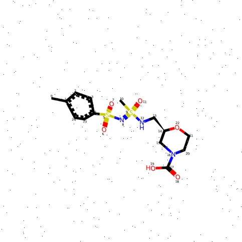 Cc1ccc(S(=O)(=O)N=S(C)(=O)NC[C@@H]2CN(C(=O)O)CCO2)cc1